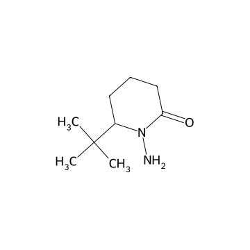 CC(C)(C)C1CCCC(=O)N1N